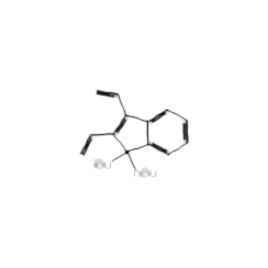 C=CC1=C(C=C)C(CCCC)(C(C)CC)c2ccccc21